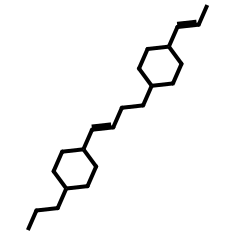 CC=CC1CCC(CCC=CC2CCC(CCC)CC2)CC1